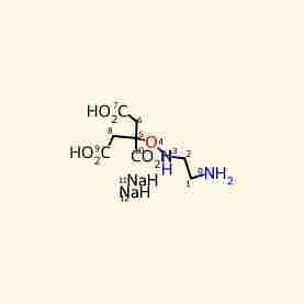 NCCNOC(CC(=O)O)(CC(=O)O)C(=O)O.[NaH].[NaH]